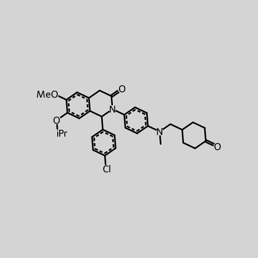 COc1cc2c(cc1OC(C)C)C(c1ccc(Cl)cc1)N(c1ccc(N(C)CC3CCC(=O)CC3)cc1)C(=O)C2